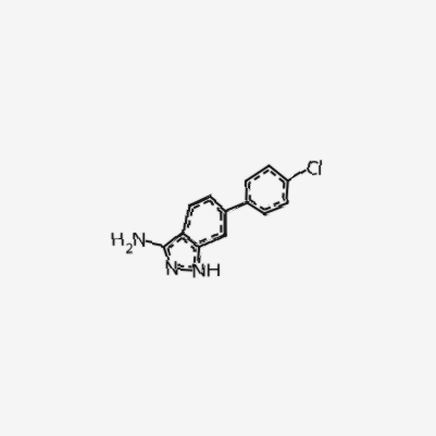 Nc1n[nH]c2cc(-c3ccc(Cl)cc3)ccc12